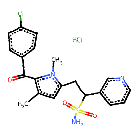 Cc1cc(CC(c2cccnc2)S(N)(=O)=O)n(C)c1C(=O)c1ccc(Cl)cc1.Cl